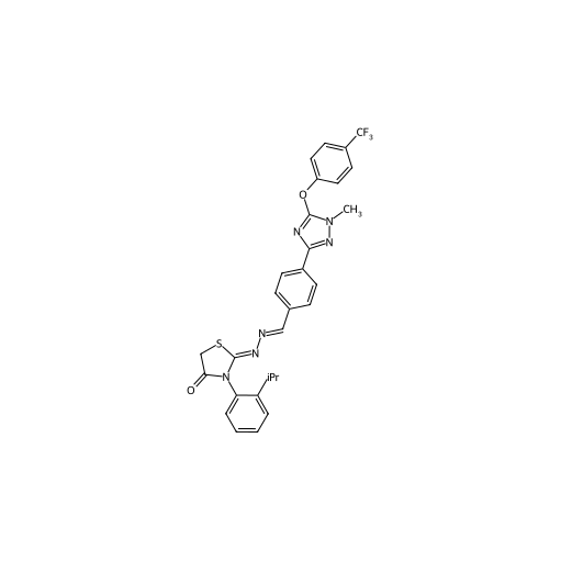 CC(C)c1ccccc1N1C(=O)CSC1=NN=Cc1ccc(-c2nc(Oc3ccc(C(F)(F)F)cc3)n(C)n2)cc1